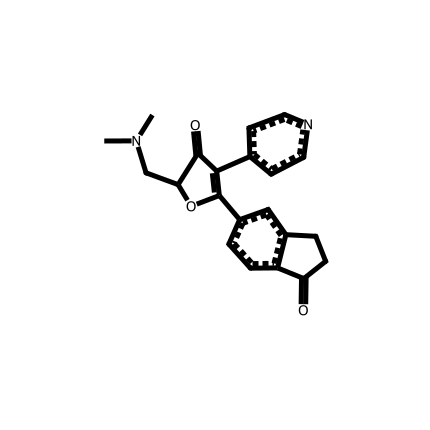 CN(C)CC1OC(c2ccc3c(c2)CCC3=O)=C(c2ccncc2)C1=O